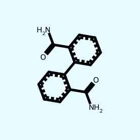 NC(=O)c1ccccc1-c1ccccc1C(N)=O